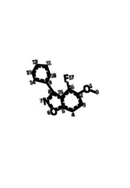 COc1ccc2onc(-c3ccccc3)c2c1F